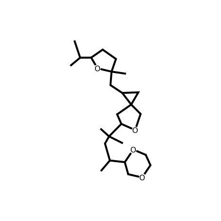 CC(C)C1CCC(C)(CC2CC23COC(C(C)(C)CC(C)C2COCCO2)C3)O1